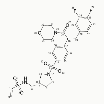 C=CS(=O)(=O)NC[C@H]1CCN(S(=O)(=O)c2ccc(C(Cc3ccc(F)c(F)c3)C(=O)N3CCOCC3)cc2)C1